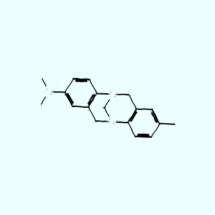 Cc1ccc2c(c1)CN1CN2Cc2cc(N(C)C)ccc21